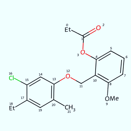 CCC(=O)Oc1cccc(OC)c1COc1cc(Cl)c(CC)cc1C